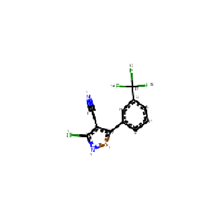 N#Cc1c(Cl)nsc1-c1cccc(C(F)(F)F)c1